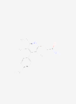 CNc1nc(SCC(N)=O)c(C#N)c(-c2ccc(NC(C)=O)cc2)c1C#N